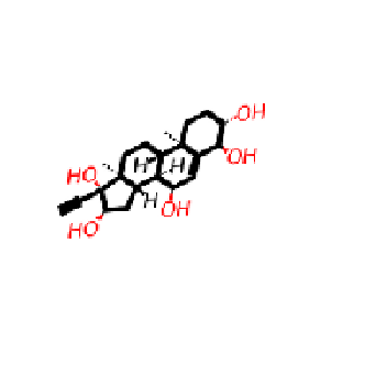 C#C[C@]1(O)[C@H](O)C[C@H]2[C@@H]3[C@H](O)C=C4[C@H](O)[C@@H](O)CC[C@]4(C)[C@H]3CC[C@@]21C